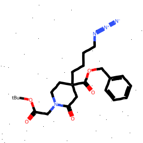 CC(C)(C)OC(=O)CN1CCC(CCCCN=[N+]=[N-])(C(=O)OCc2ccccc2)CC1=O